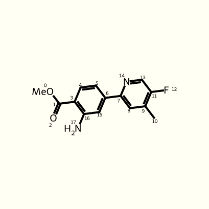 COC(=O)c1ccc(-c2cc(C)c(F)cn2)cc1N